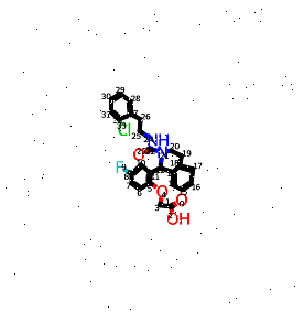 O=C(O)COc1ccc(F)cc1C1c2ccccc2CCN1C(=O)NCCc1ccccc1Cl